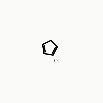 C1=CCC=C1.[Cs]